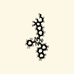 C=C/C=C\C1=C(C)C(C)(C)c2cc3cc(-c4nc(-c5ccccc5)nc(-c5cccc6c5ccc5ccccc56)n4)ccc3cc21